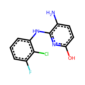 Nc1ccc(O)nc1Nc1cccc(F)c1Cl